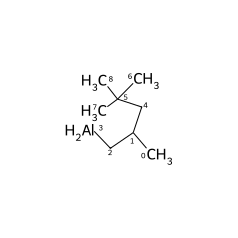 CC([CH2][AlH2])CC(C)(C)C